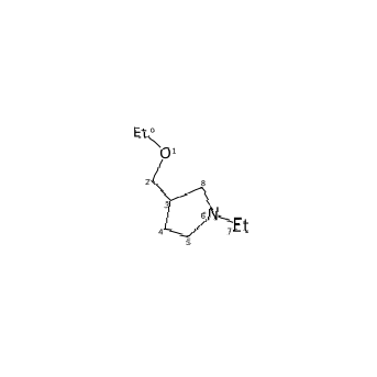 CCOCC1CCN(CC)C1